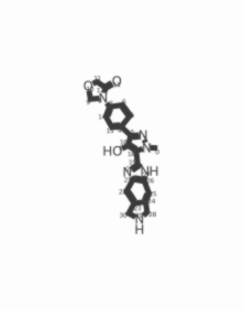 Cn1nc(-c2ccc(N3COCC3=O)cc2)c(O)c1-c1nc2cc3c(cc2[nH]1)CNC3